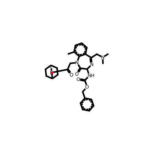 Cc1cccc2c1N(CC(=O)N1CC3CCC(CC3)C1)C(=O)C(NC(=O)OCc1ccccc1)N=C2CN(C)C